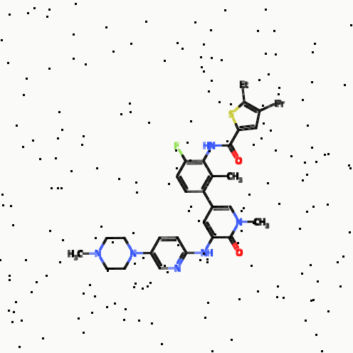 CCc1sc(C(=O)Nc2c(F)ccc(-c3cc(Nc4ccc(N5CCN(C)CC5)cn4)c(=O)n(C)c3)c2C)cc1C(C)C